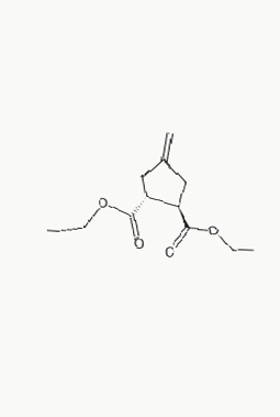 C=C1C[C@@H](C(=O)OCC)[C@H](C(=O)OCC)C1